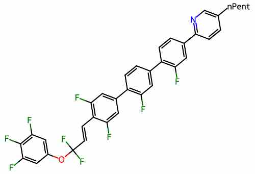 CCCCCc1ccc(-c2ccc(-c3ccc(-c4cc(F)c(/C=C/C(F)(F)Oc5cc(F)c(F)c(F)c5)c(F)c4)c(F)c3)c(F)c2)nc1